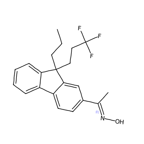 CCCC1(CCC(F)(F)F)c2ccccc2-c2ccc(/C(C)=N/O)cc21